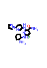 NC(=O)c1cc(F)c(NC2CCCC[C@@H]2N)nc1Nc1ccc(-n2cccn2)nc1